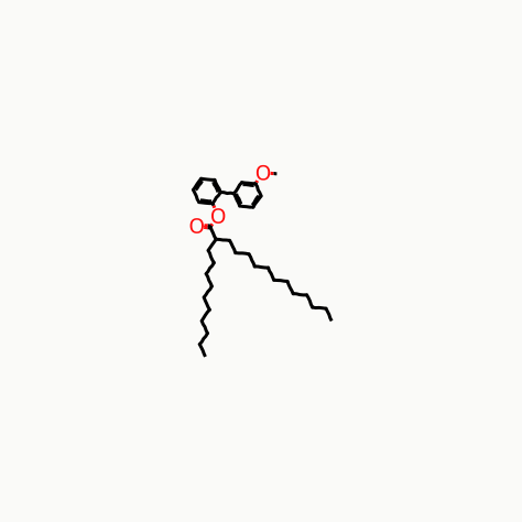 CCCCCCCCCCCCC(CCCCCCCCCC)C(=O)Oc1ccccc1-c1cccc(OC)c1